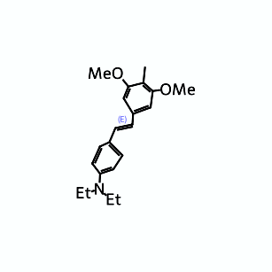 CCN(CC)c1ccc(/C=C/c2cc(OC)c(C)c(OC)c2)cc1